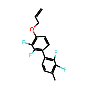 C=CCOc1ccc(-c2ccc(C)c(F)c2F)c(F)c1F